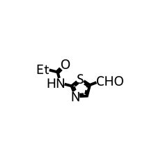 CCC(=O)Nc1ncc(C=O)s1